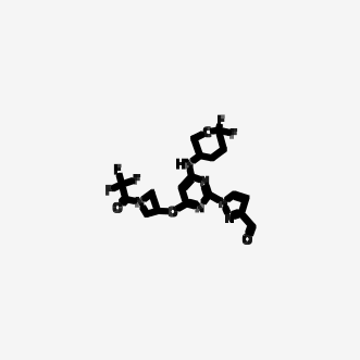 O=Cc1ccn(-c2nc(NC3CCC(F)(F)CC3)cc(OC3CN(C(=O)C(F)(F)F)C3)n2)n1